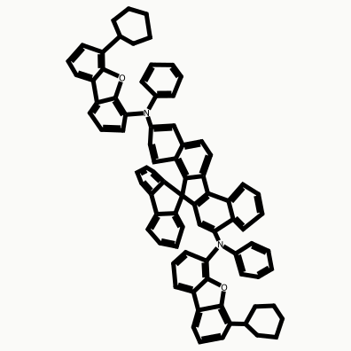 c1ccc(N(c2ccc3c4c(ccc3c2)-c2c(cc(N(c3ccccc3)c3cccc5c3oc3c(C6CCCCC6)cccc35)c3ccccc23)C42c3ccccc3-c3ccccc32)c2cccc3c2oc2c(C4CCCCC4)cccc23)cc1